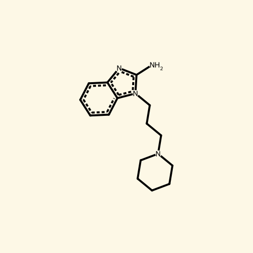 Nc1nc2ccccc2n1CCCN1CCCCC1